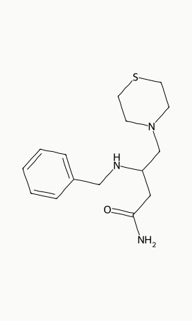 NC(=O)CC(CN1CCSCC1)NCc1ccccc1